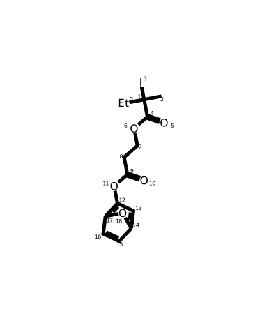 CCC(C)(I)C(=O)OCCC(=O)Oc1cc2ccc1o2